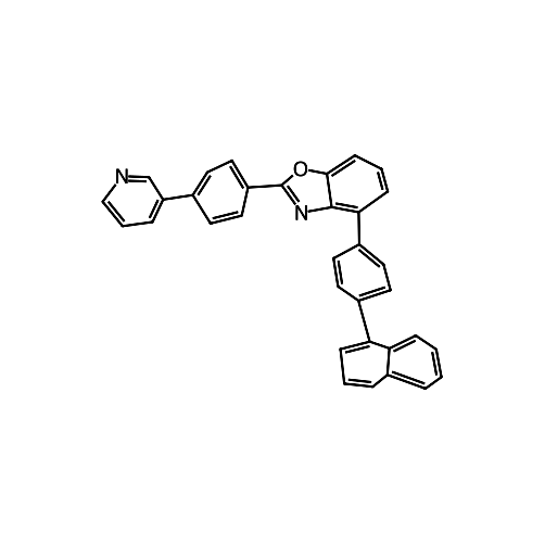 c1cncc(-c2ccc(-c3nc4c(-c5ccc(-c6cccc7ccccc67)cc5)cccc4o3)cc2)c1